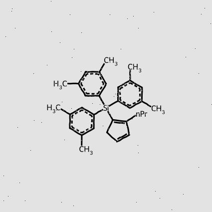 CCCC1=C([Si](c2cc(C)cc(C)c2)(c2cc(C)cc(C)c2)c2cc(C)cc(C)c2)CC=C1